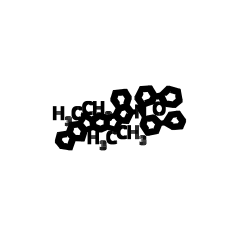 CC1(C)c2cc3c(cc2-c2cc4ccccc4cc21)C(C)(C)c1cc(N(c2cccc(-c4ccccc4)c2)c2cccc4c2oc2ccccc24)c2ccccc2c1-3